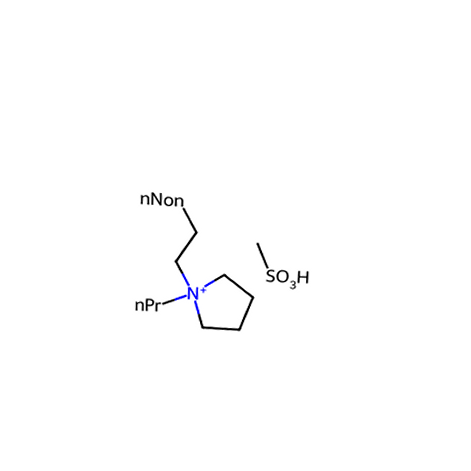 CCCCCCCCCCC[N+]1(CCC)CCCC1.CS(=O)(=O)O